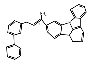 N/C(=C\Cc1cccc(-c2ccccc2)c1)c1ccc2c(c1)-n1c3c(c4ccccc41)C=CCC23